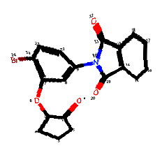 O=C1CCCC1Oc1cc(N2C(=O)C3=C(CCCC3)C2=O)ccc1Br